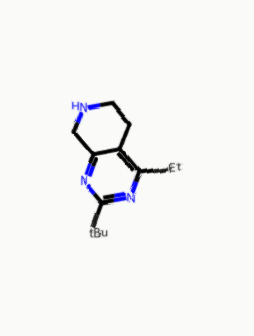 CCc1nc(C(C)(C)C)nc2c1CCNC2